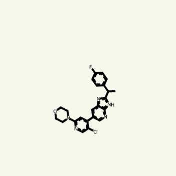 CC(c1ccc(F)cc1)c1nc2cc(-c3cc(N4CCOCC4)ncc3Cl)cnc2[nH]1